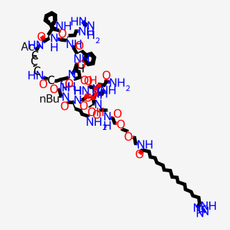 CCCC[C@H](NC(=O)[C@H](CCCCN)NC(=O)[C@H](Cc1c[nH]cn1)NC(=O)[C@H](CCC(N)=O)NC(=O)[C@H](CO)NC(=O)CNC(=O)COCCOCCNC(=O)CCCCCCCCCCCCCCCc1nnn[nH]1)C(=O)N[C@H]1CCC(=O)NCCCC[C@@H](C(C)=O)NC(=O)[C@H](Cc2c[nH]c3ccccc23)NC(=O)[C@H](CCCNC(=N)N)NC(=O)[C@@H](Cc2ccccc2)NC(=O)[C@@H]2C[C@@H](O)CN2C1=O